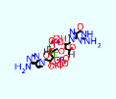 Nc1nc2c(ncn2[C@@H]2O[C@@H]3COP(=O)(O)OC4C(O)[C@H](n5ccc6c(N)ncnc65)O[C@@H]4COP(=O)(O)OC2C3OCC(F)(F)F)c(=O)[nH]1